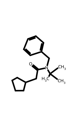 CC(C)(C)N(Cc1ccccc1)C(=O)CC1CCCC1